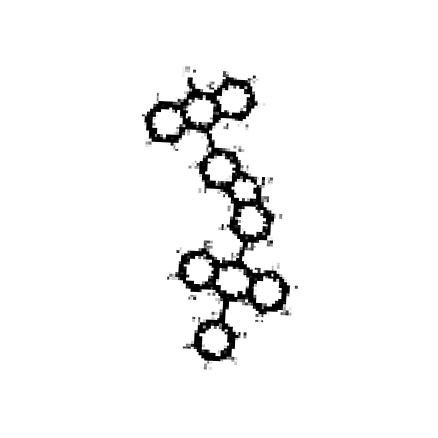 Fc1c2ccccc2c(-c2ccc3c(c2)oc2ccc(-c4c5ccccc5c(-c5ccccc5)c5ccccc45)cc23)c2ccccc12